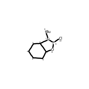 CC(C)(C)N1C2CCCCC2OP1Cl